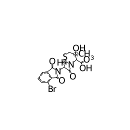 C[C@@]1(O)CS[C@H]2C(N3C(=O)c4cccc(Br)c4C3=O)C(=O)N2C1C(=O)O